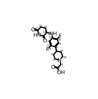 O=C(O)CN1CCC(c2cc(F)c(NC3CCC(=O)NC3=O)cc2F)CC1